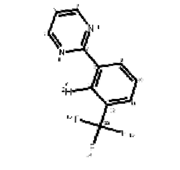 [2H]c1c(-c2ncccn2)cccc1C(F)(F)F